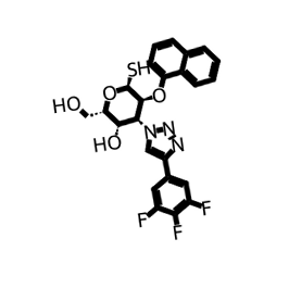 OC[C@@H]1O[C@@H](S)[C@@H](Oc2cccc3ccccc23)[C@H](n2cc(-c3cc(F)c(F)c(F)c3)nn2)[C@@H]1O